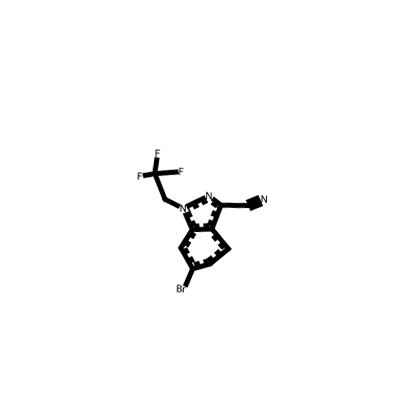 N#Cc1nn(CC(F)(F)F)c2cc(Br)ccc12